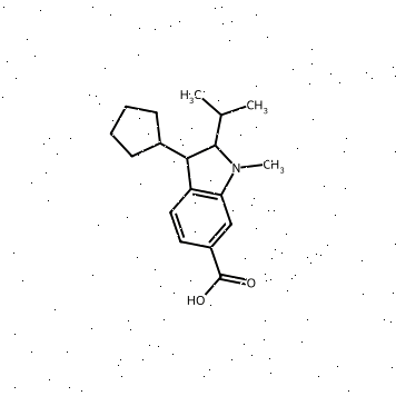 CC(C)C1C(C2CCCC2)c2ccc(C(=O)O)cc2N1C